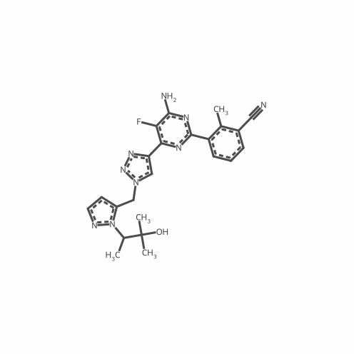 Cc1c(C#N)cccc1-c1nc(N)c(F)c(-c2cn(Cc3ccnn3C(C)C(C)(C)O)nn2)n1